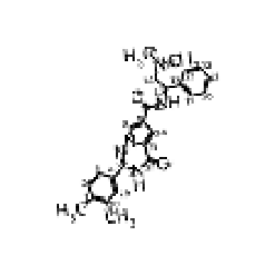 Cc1ccc(-c2nn3cc(C(=O)NC(CN(C)C)c4ccccc4)cc3c(=O)[nH]2)cc1C